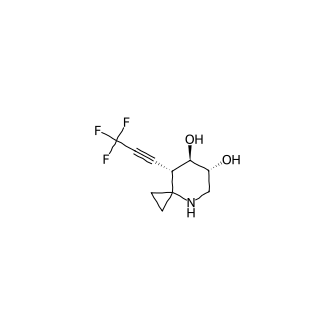 O[C@H]1[C@H](O)CNC2(CC2)[C@@H]1C#CC(F)(F)F